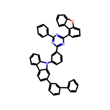 c1ccc(-c2cccc(-c3ccc4c5ccccc5n(-c5cccc(-c6nc(-c7ccccc7)nc(-c7cccc8oc9ccccc9c78)n6)c5)c4c3)c2)cc1